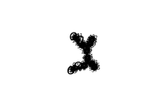 CCC1(CC(=O)Cc2ccc(N(c3ccc(-c4ccc(N(c5ccc(CC(=O)CC6(CC)COC6)cc5)c5ccc6ccccc6c5)cc4)cc3)c3ccc4ccccc4c3)cc2)COC1